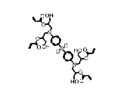 C=CC(=O)OC(CO)CN(CC(CO)OC(=O)C=C)c1ccc(S(=O)(=O)c2ccc(N(CC(CO)OC(=O)C=C)CC(CO)OC(=O)C=C)cc2)cc1